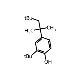 CC(C)(C)CC(C)(C)c1ccc(O)c(C(C)(C)C)c1